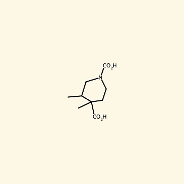 CC1CN(C(=O)O)CCC1(C)C(=O)O